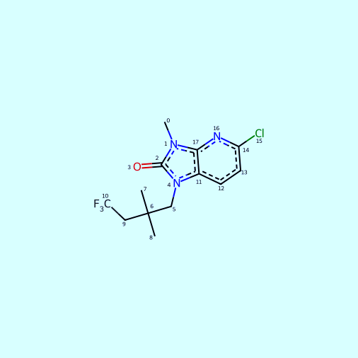 Cn1c(=O)n(CC(C)(C)CC(F)(F)F)c2ccc(Cl)nc21